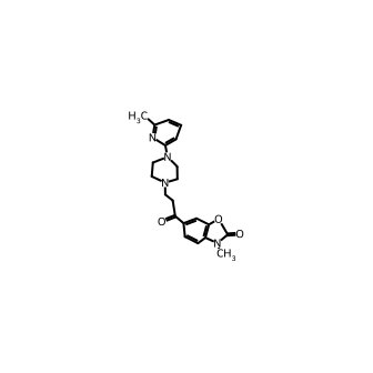 Cc1cccc(N2CCN(CCC(=O)c3ccc4c(c3)oc(=O)n4C)CC2)n1